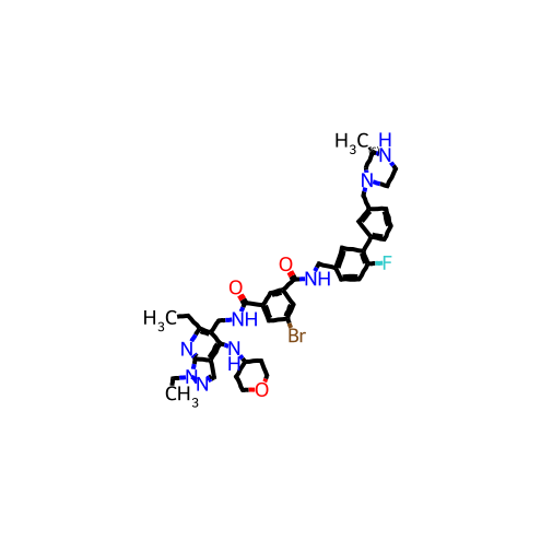 CCc1nc2c(cnn2CC)c(NC2CCOCC2)c1CNC(=O)c1cc(Br)cc(C(=O)NCc2ccc(F)c(-c3cccc(CN4CCN[C@@H](C)C4)c3)c2)c1